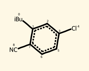 CCC(C)c1cc(Cl)ccc1C#N